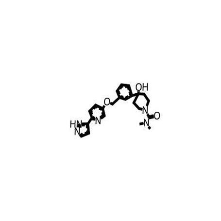 CN(C)C(=O)N1CCC(O)(c2cccc(COc3ccc(-c4ccn[nH]4)nc3)c2)CC1